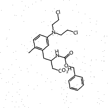 Cc1ccc(N(CCCl)CCCl)cc1CC(CC(=O)O)NC(=O)OCc1ccccc1